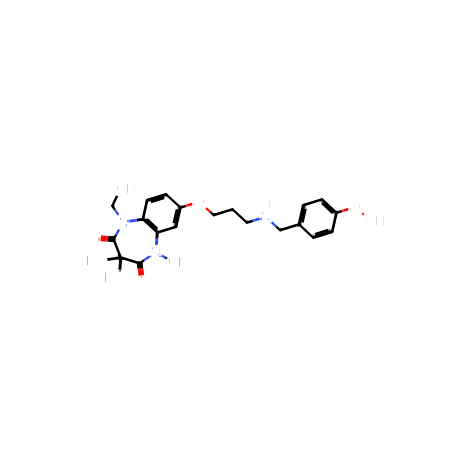 CCN1C(=O)C(C)(C)C(=O)N(C)c2cc(OCCCNCc3ccc(OC)cc3)ccc21